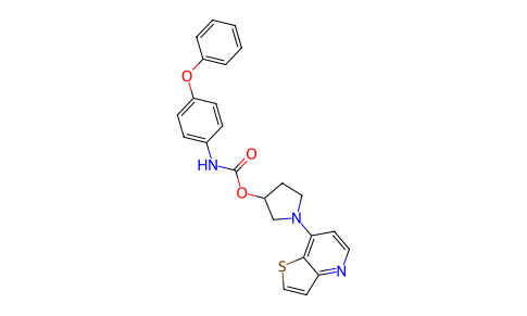 O=C(Nc1ccc(Oc2ccccc2)cc1)OC1CCN(c2ccnc3ccsc23)C1